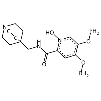 BOc1cc(C(=O)NCC23CCN(CC2)CC3)[n+](O)cc1OP